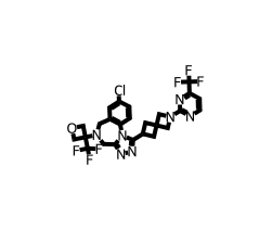 FC(F)(F)c1ccnc(N2CC3(CC(c4nnc5n4-c4ccc(Cl)cc4CN(C4(C(F)(F)F)COC4)C5)C3)C2)n1